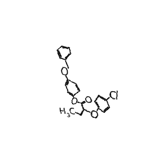 CCC(Oc1ccc(Cl)cc1)C(=O)Oc1ccc(OCc2ccccc2)cc1